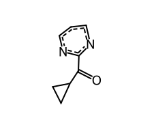 O=C(c1ncccn1)C1CC1